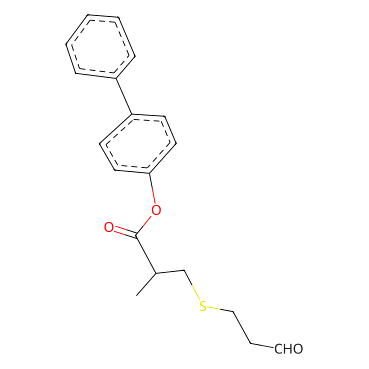 CC(CSCCC=O)C(=O)Oc1ccc(-c2ccccc2)cc1